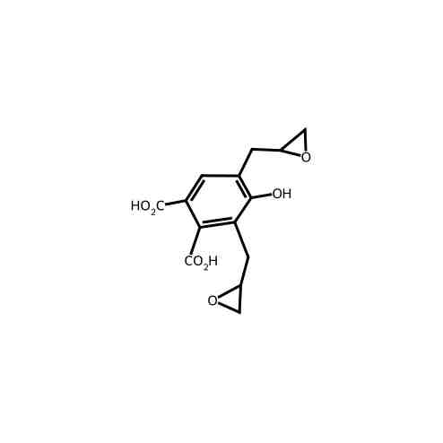 O=C(O)c1cc(CC2CO2)c(O)c(CC2CO2)c1C(=O)O